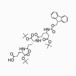 CC(C)(C)OC(=O)CC(CCC(=O)N[C@H](CCC(=O)N[C@H](CCC(=O)O)C(=O)OC(C)(C)C)C(=O)OC(C)(C)C)NC(=O)OCC1c2ccccc2-c2ccccc21